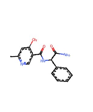 Cc1cc(O)c(C(=O)NC(C([NH])=O)c2ccccc2)cn1